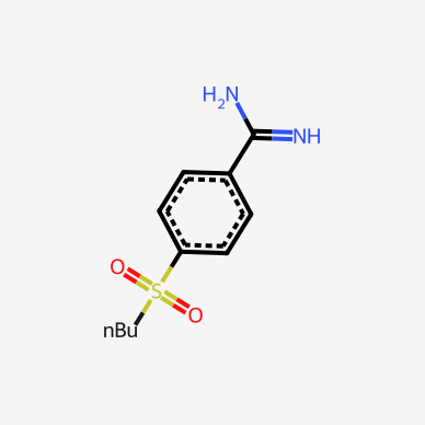 CCCCS(=O)(=O)c1ccc(C(=N)N)cc1